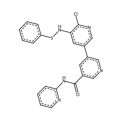 O=C(Nc1ccccn1)c1cncc(-c2cnc(Cl)c(NSc3ccccc3)c2)c1